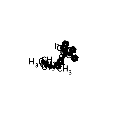 C[n+]1c2ccc(OCC(ON3C(=O)c4ccccc4C3=O)C(=O)OC(c3ccccc3)c3ccccc3)cc2cn1CC1CN(C(=O)OC(C)(C)C)C1.[I-]